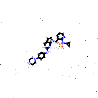 CS(=O)(=O)N(c1ncccc1Cn1ccc2cnc(Nc3ccc(N4CCNCC4)cc3)nc21)C1CC1